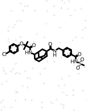 CC(C)(Oc1ccc(Cl)cc1)C(=O)NC1C2CC3CC1CC(C(=O)NCc1ccc(C(=O)NS(C)(=O)=O)cc1)(C3)C2